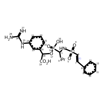 CC(C)C(NS(=O)(=O)/C=C/c1ccccc1)P(=O)(O)OC(C(=O)O)c1cccc(NC(=N)N)c1